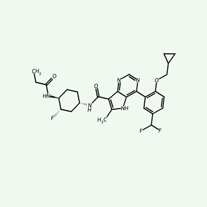 CCC(=O)N[C@H]1CC[C@H](NC(=O)c2c(C)[nH]c3c(-c4cc(C(F)F)ccc4OCC4CC4)ncnc23)C[C@@H]1F